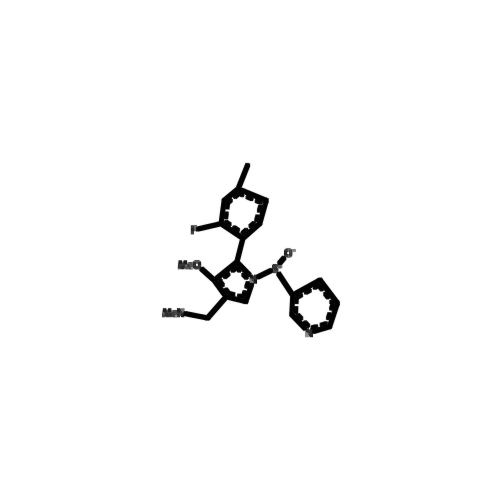 CNCc1cn([S+]([O-])c2cccnc2)c(-c2ccc(C)cc2F)c1OC